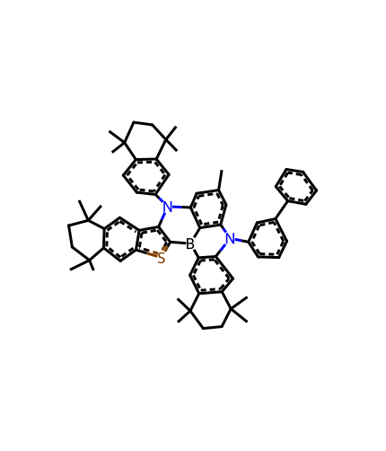 Cc1cc2c3c(c1)N(c1ccc4c(c1)C(C)(C)CCC4(C)C)c1c(sc4cc5c(cc14)C(C)(C)CCC5(C)C)B3c1cc3c(cc1N2c1cccc(-c2ccccc2)c1)C(C)(C)CCC3(C)C